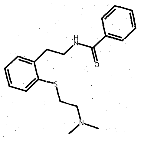 CN(C)CCSc1ccccc1CCNC(=O)c1ccccc1